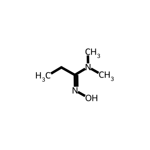 CCC(=NO)N(C)C